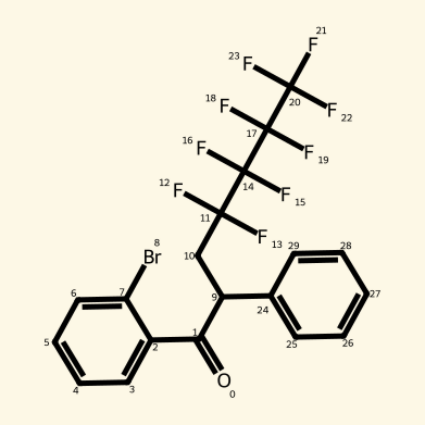 O=C(c1ccccc1Br)C(CC(F)(F)C(F)(F)C(F)(F)C(F)(F)F)c1ccccc1